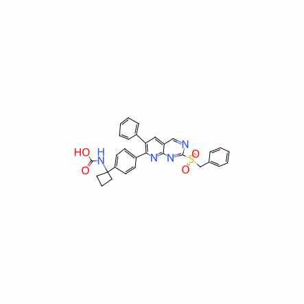 O=C(O)NC1(c2ccc(-c3nc4nc(S(=O)(=O)Cc5ccccc5)ncc4cc3-c3ccccc3)cc2)CCC1